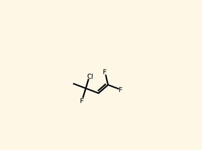 CC(F)(Cl)C=C(F)F